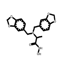 CC(C(=O)NO)N(Cc1ccc2c(c1)OCO2)Cc1ccc2c(c1)OCO2